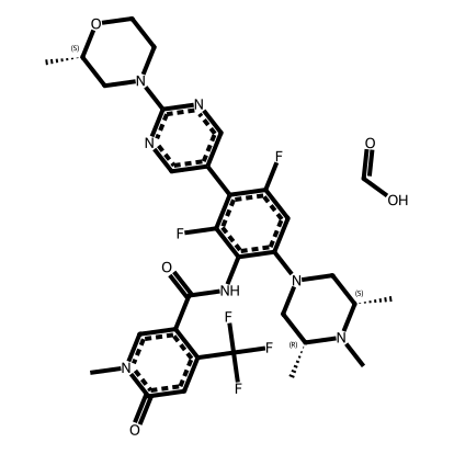 C[C@@H]1CN(c2cc(F)c(-c3cnc(N4CCO[C@@H](C)C4)nc3)c(F)c2NC(=O)c2cn(C)c(=O)cc2C(F)(F)F)C[C@H](C)N1C.O=CO